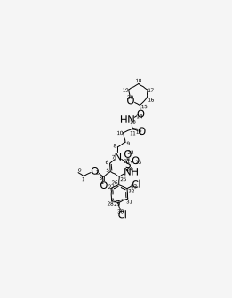 CCOC(=O)C1=CN(CCCC(=O)NOC2CCCCO2)S(=O)(=O)NC1c1ccc(Cl)cc1Cl